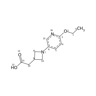 CCOc1ccc(N2CC(CC(=O)O)C2)cn1